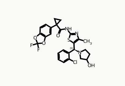 Cc1nc(NC(=O)C2(c3ccc4c(c3)OC(F)(F)O4)CC2)sc1[C@H](c1ccccc1Cl)N1CCC(O)C1